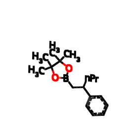 CCCC(CB1OC(C)(C)C(C)(C)O1)c1ccccc1